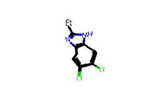 CCc1nc2cc(Cl)c(Cl)cc2[nH]1